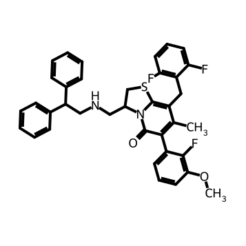 COc1cccc(-c2c(C)c(Cc3c(F)cccc3F)c3n(c2=O)C(CNCC(c2ccccc2)c2ccccc2)CS3)c1F